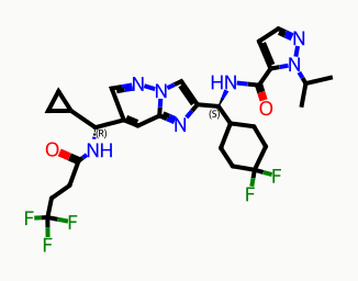 CC(C)n1nccc1C(=O)N[C@H](c1cn2ncc([C@H](NC(=O)CCC(F)(F)F)C3CC3)cc2n1)C1CCC(F)(F)CC1